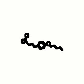 CCCCCOc1ccc(CCC[C@@H]2OC2=O)cc1